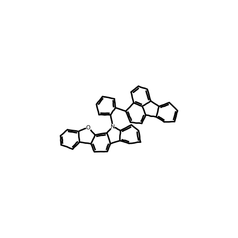 c1ccc2c(c1)-c1cccc3c(-c4ccccc4-n4c5ccccc5c5ccc6c7ccccc7oc6c54)ccc-2c13